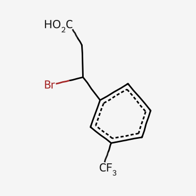 O=C(O)CC(Br)c1cccc(C(F)(F)F)c1